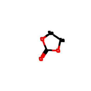 O=C1O[Se][Se]O1